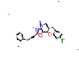 Cn1cc(Cc2ccc(F)cc2)c(=O)c2oc(C#CCc3ccccc3)nc21